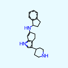 C1=C(NC2CCc3ccccc32)CCc2c(C3CCNCC3)c[nH]c21